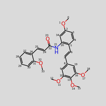 COc1ccc(C=Cc2cc(OC)c(OC)c(OC)c2)c(NC(=O)/C=C/c2ccccc2OC)c1